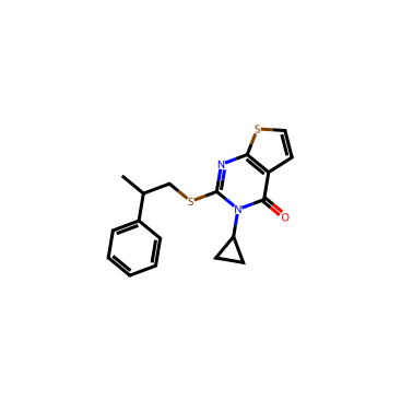 CC(CSc1nc2sccc2c(=O)n1C1CC1)c1ccccc1